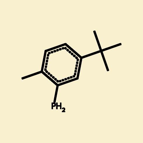 Cc1ccc(C(C)(C)C)cc1P